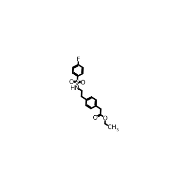 CCOC(=O)Cc1ccc(CCNS(=O)(=O)c2ccc(F)cc2)cc1